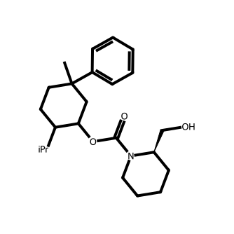 CC(C)C1CCC(C)(c2ccccc2)CC1OC(=O)N1CCCC[C@@H]1CO